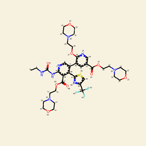 CCNC(=O)Nc1ncc(-c2cc(C(=O)OCCN3CCOCC3)cnc2OCCN2CCOCC2)c(-c2nc(C(F)(F)F)cs2)c1C(=O)OCCN1CCOCC1